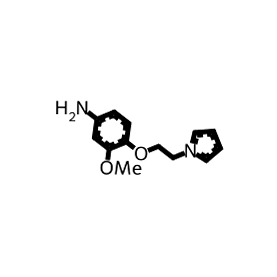 COc1cc(N)ccc1OCCn1cccc1